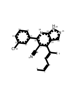 C/C=C\C=C(/I)c1c(C#N)c(-c2cccc(Cl)c2)nc2[nH]ncc12